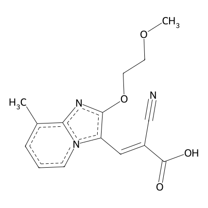 COCCOc1nc2c(C)cccn2c1C=C(C#N)C(=O)O